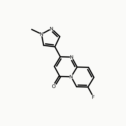 Cn1cc(-c2cc(=O)n3cc(F)ccc3n2)cn1